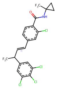 O=C(NC1(C(F)(F)F)CC1)c1ccc(/C=C/C(c2cc(Cl)c(Cl)c(Cl)c2)C(F)(F)F)cc1Cl